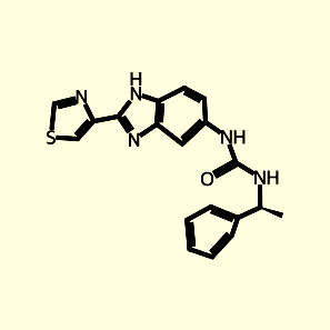 C[C@H](NC(=O)Nc1ccc2[nH]c(-c3cscn3)nc2c1)c1ccccc1